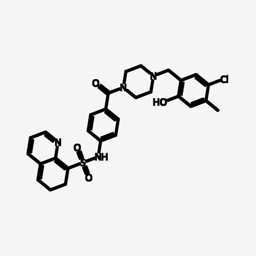 Cc1cc(O)c(CN2CCN(C(=O)c3ccc(NS(=O)(=O)C4=c5ncccc5=CCC4)cc3)CC2)cc1Cl